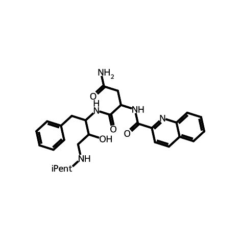 CCCC(C)NCC(O)C(Cc1ccccc1)NC(=O)C(CC(N)=O)NC(=O)c1ccc2ccccc2n1